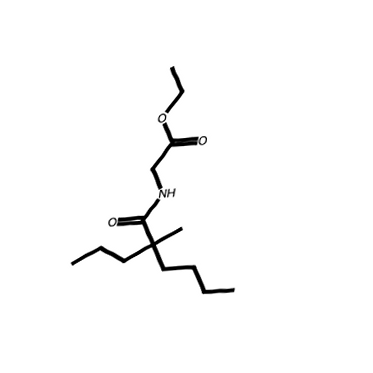 CCCCC(C)(CCC)C(=O)NCC(=O)OCC